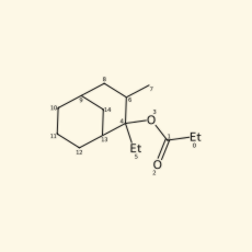 CCC(=O)OC1(CC)C(C)CC2CCCC1C2